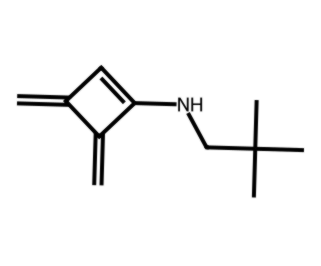 C=C1C=C(NCC(C)(C)C)C1=C